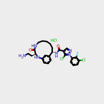 Cl.NCC[C@@H]1Nc2cccc(c2)[C@@H](NC(=O)c2cnn(-c3cccc(Cl)c3F)c2Cl)CCCCCNC1=O